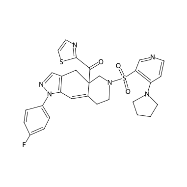 O=C(c1nccs1)C12Cc3cnn(-c4ccc(F)cc4)c3C=C1CCN(S(=O)(=O)c1cnccc1N1CCCC1)C2